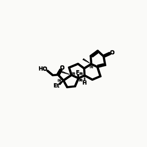 CC[C@]1(C(=O)CO)CC[C@@]2(F)[C@@H]3CCC4=CC(=O)C=C[C@]4(C)C3CC[C@]12C